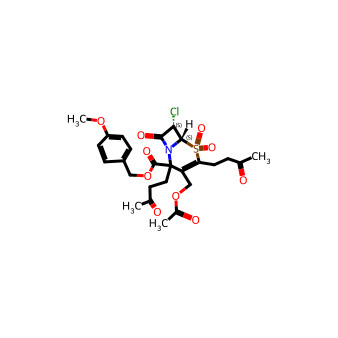 COc1ccc(COC(=O)C2(CCC(C)=O)C(COC(C)=O)=C(CCC(C)=O)S(=O)(=O)[C@H]3[C@@H](Cl)C(=O)N32)cc1